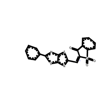 O=C1/C(=C\c2nc3sc(-c4ccccc4)nc3s2)S(=O)(=O)c2ccccc21